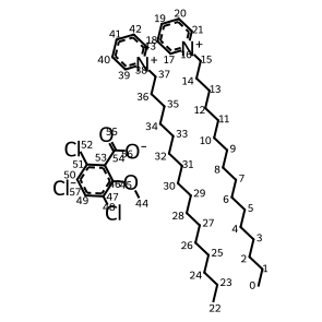 CCCCCCCCCCCCCCCC[n+]1ccccc1.CCCCCCCCCCCCCCCC[n+]1ccccc1.COc1c(Cl)ccc(Cl)c1C(=O)[O-].[Cl-]